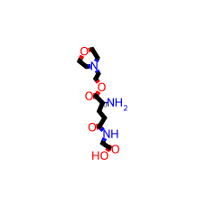 N[C@H](CCC(=O)NCC(=O)O)C(=O)OCCN1CCOCC1